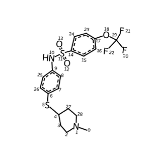 CN1CCC(Sc2ccc(NS(=O)(=O)c3ccc(OC(F)(F)F)cc3)cc2)CC1